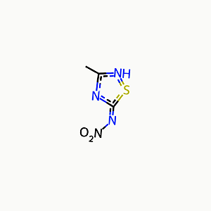 Cc1n/c(=N\[N+](=O)[O-])s[nH]1